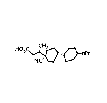 CCCC1CCC([C@H]2CC[C@](C#N)([C@@H](C)CC(=O)O)CC2)CC1